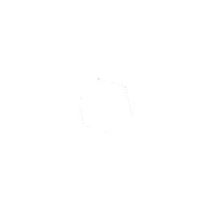 [CH]1OCCCO1